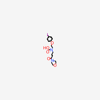 O=C(O)N(CC=CC(=O)N1CCOCC1)CCOc1ccc(I)cc1